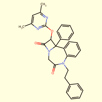 Cc1cc(C)nc(OC2C(=O)N3CC(=O)N(CCc4ccccc4)c4ccccc4C23c2ccccc2)n1